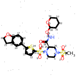 CS(=O)(=O)N1CCN(S(=O)(=O)c2ccc(-c3ccc4c(c3)CCO4)s2)[C@@H](C(=O)NOC2CCCCO2)C1